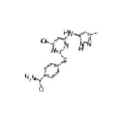 Cc1cc(Nc2cc(Cl)nc(Sc3ccc(C(N)=O)cc3)n2)[nH]n1